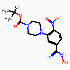 CC(C)(C)OC(=O)N1CCN(c2cc(C(=N)NO)ccc2[N+](=O)[O-])CC1